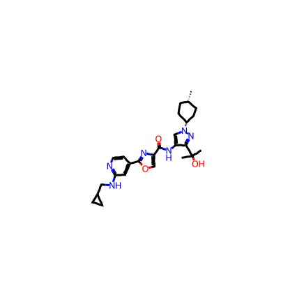 CC(C)(O)c1nn([C@H]2CC[C@@H](C)CC2)cc1NC(=O)c1coc(-c2ccnc(NCC3CC3)c2)n1